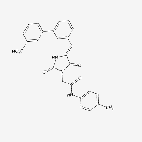 Cc1ccc(NC(=O)CN2C(=O)N/C(=C\c3cccc(-c4cccc(C(=O)O)c4)c3)C2=O)cc1